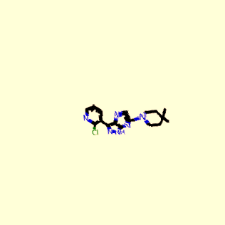 CC1(C)CCN(c2cnc3c(-c4cccnc4Cl)n[nH]c3n2)CC1